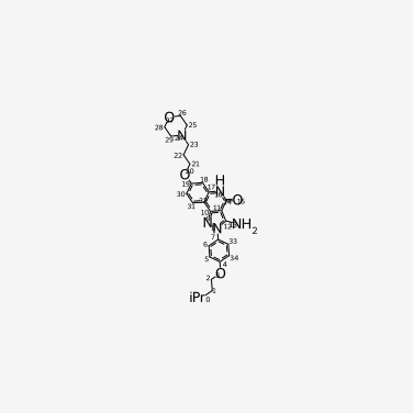 CC(C)CCOc1ccc(-n2nc3c(c2N)c(=O)[nH]c2cc(OCCCN4CCOCC4)ccc23)cc1